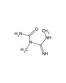 CNC(=N)N(C)C(N)=O